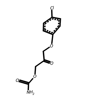 NC(=O)OCC(=O)COc1ccc(Cl)cc1